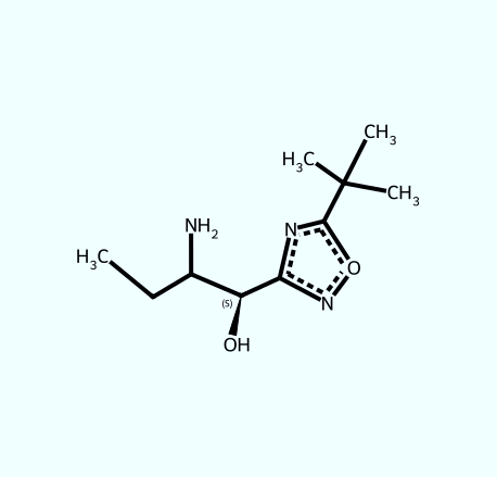 CCC(N)[C@H](O)c1noc(C(C)(C)C)n1